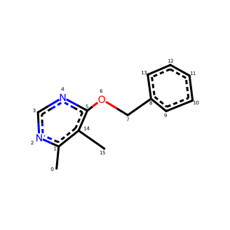 Cc1ncnc(OCc2ccccc2)c1C